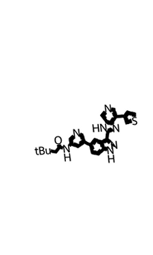 CC(C)(C)CC(=O)Nc1cncc(-c2ccc3[nH]nc(-c4nc5c(-c6ccsc6)cncc5[nH]4)c3c2)c1